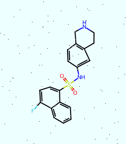 O=S(=O)(Nc1ccc2c(c1)CCNC2)c1ccc(F)c2ccccc12